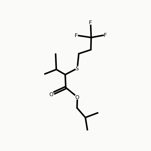 CC(C)COC(=O)C(SCCC(F)(F)F)C(C)C